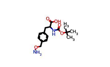 CC(C)(C)OC(=O)NC(Cc1ccc(CON)cc1)C(=O)O